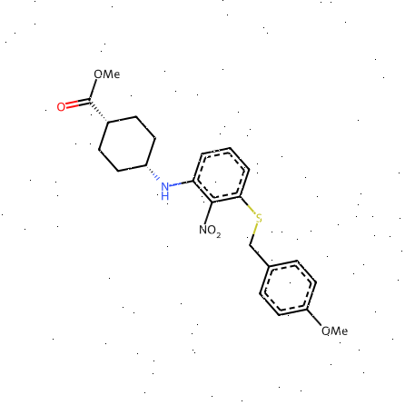 COc1ccc(CSc2cccc(N[C@H]3CC[C@@H](C(=O)OC)CC3)c2[N+](=O)[O-])cc1